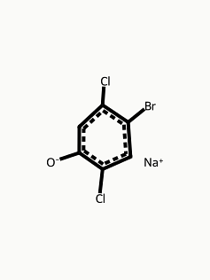 [Na+].[O-]c1cc(Cl)c(Br)cc1Cl